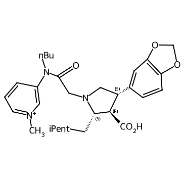 CCCCN(C(=O)CN1C[C@H](c2ccc3c(c2)OCO3)[C@@H](C(=O)O)[C@@H]1CC(C)CCC)c1ccc[n+](C)c1